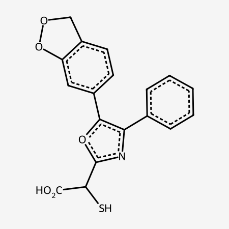 O=C(O)C(S)c1nc(-c2ccccc2)c(-c2ccc3c(c2)OOC3)o1